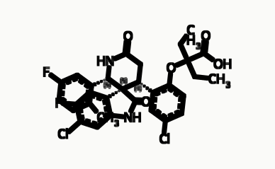 CCC(CC)(Oc1ccc(Cl)cc1[C@H]1CC(=O)N[C@@H](c2cc(F)ccc2C)[C@]12C(=O)Nc1cc(Cl)c(F)cc12)C(=O)O